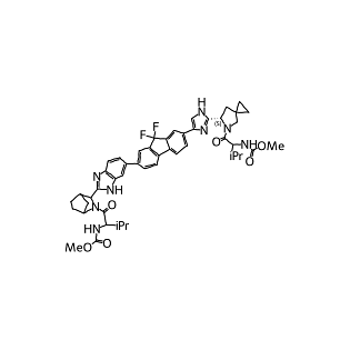 COC(=O)NC(C(=O)N1C2CCC(C2)C1c1nc2ccc(-c3ccc4c(c3)C(F)(F)c3cc(-c5c[nH]c([C@@H]6CC7(CC7)CN6C(=O)C(NC(=O)OC)C(C)C)n5)ccc3-4)cc2[nH]1)C(C)C